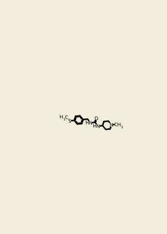 CSc1ccc(CNC(=O)NC2CCN(C)CC2)cc1